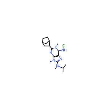 CC(C)N(C)c1nc2c(n1C)N=C(C1CC3CCC1C3)N(C)C2NCl